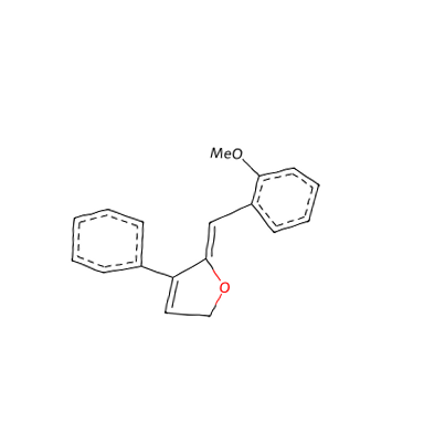 COc1ccccc1C=C1OCC=C1c1ccccc1